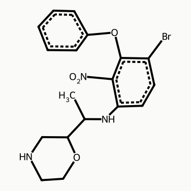 CC(Nc1ccc(Br)c(Oc2ccccc2)c1[N+](=O)[O-])C1CNCCO1